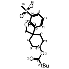 CC(C)(C)C(=O)ON1CCC(CC=O)(c2cccc(S(C)(=O)=O)c2)CC1